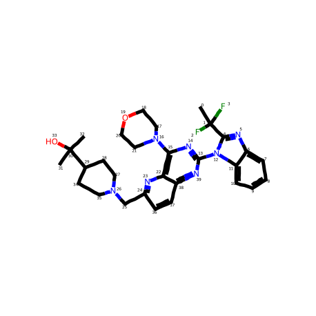 CC(F)(F)c1nc2ccccc2n1-c1nc(N2CCOCC2)c2nc(CN3CCC(C(C)(C)O)CC3)ccc2n1